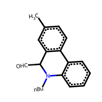 CCCCN1c2ccccc2-c2ccc(C)cc2C1C=O